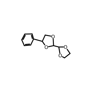 c1ccc(C2COC(C3OCCO3)O2)cc1